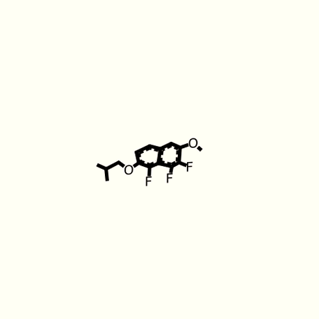 COc1cc2ccc(OCC(C)C)c(F)c2c(F)c1F